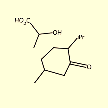 CC(O)C(=O)O.CC1CCC(C(C)C)C(=O)C1